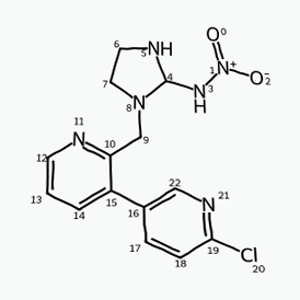 O=[N+]([O-])NC1NCCN1Cc1ncccc1-c1ccc(Cl)nc1